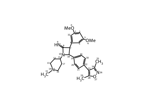 COc1cc(OC)cc(C2C(=N)N(C3CCN(C)CC3)C2c2ccc(-c3c(C)noc3C)cc2)c1